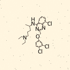 CCN(CC)CCCC(C)Nc1nc(COc2ccc(Cl)c(Cl)c2)nc2c(Cl)cccc12